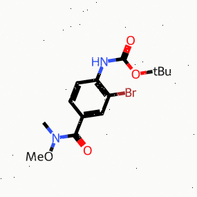 CON(C)C(=O)c1ccc(NC(=O)OC(C)(C)C)c(Br)c1